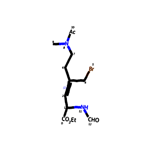 CCOC(=O)C(/C=C(\CBr)CCN(C)C(C)=O)NC=O